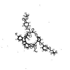 CCOC(=O)[C@H]1Cc2cc(ccc2OCc2ccnc(OCCC(F)(F)F)n2)OCC(=O)N(CCN2CCN(C(=O)OC(C)(C)C)CC2)c2ccc(c(C)c2Cl)-c2c(-c3ccc(F)cc3)sc3ncnc(c23)O1